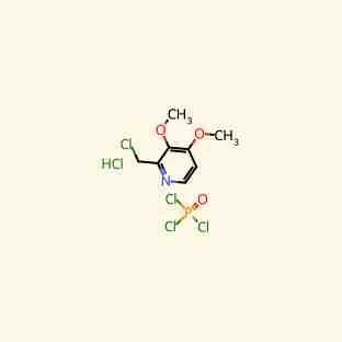 COc1ccnc(CCl)c1OC.Cl.O=P(Cl)(Cl)Cl